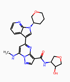 CNc1cc(-c2cn([C@@H]3CCCOC3)c3ncccc23)nc2c(C(=O)N[C@H]3COCC3O)cnn12